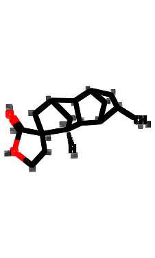 CC1CC2CC1C1C2C2C[C@@H]1C1(CCOC1=O)C2